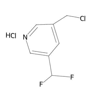 Cl.FC(F)c1cncc(CCl)c1